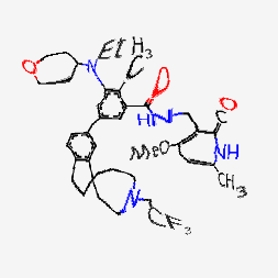 CCN(c1cc(-c2ccc3c(c2)C2(CC3)CCN(CC(F)(F)F)CC2)cc(C(=O)NCC2=C(OC)C=C(C)NC2=C=O)c1C)C1CCOCC1